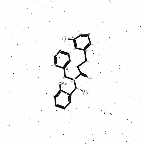 COc1ccccc1[C@@H](C)N(Cc1ccccn1)C(=O)CCc1cccc(C(F)(F)F)c1